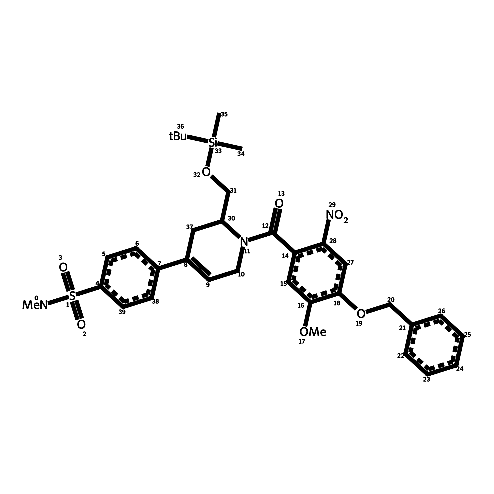 CNS(=O)(=O)c1ccc(C2=CCN(C(=O)c3cc(OC)c(OCc4ccccc4)cc3[N+](=O)[O-])C(CO[Si](C)(C)C(C)(C)C)C2)cc1